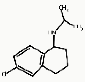 CC(C)NC1CCCc2cc(Cl)ccc21